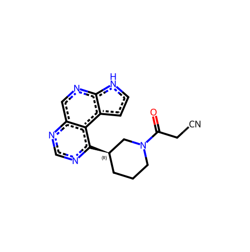 N#CCC(=O)N1CCC[C@@H](c2ncnc3cnc4[nH]ccc4c23)C1